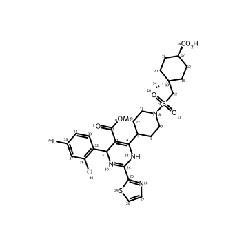 COC(=O)C1=C(C2CCN(S(=O)(=O)C[C@]3(C)CC[C@H](C(=O)O)CC3)CC2)NC(c2nccs2)=NC1c1ccc(F)cc1Cl